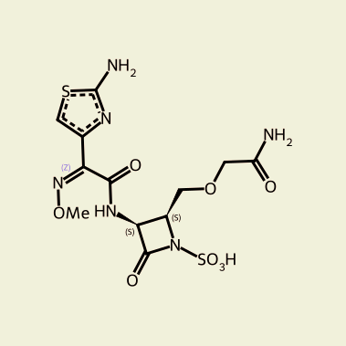 CO/N=C(\C(=O)N[C@@H]1C(=O)N(S(=O)(=O)O)[C@@H]1COCC(N)=O)c1csc(N)n1